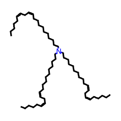 CCCCC/C=C\C/C=C\CCCCCCCCCCN(CCCCCCCCCC/C=C\C/C=C\CCCCC)CCCCCCCCCC/C=C\C/C=C\CCCCC